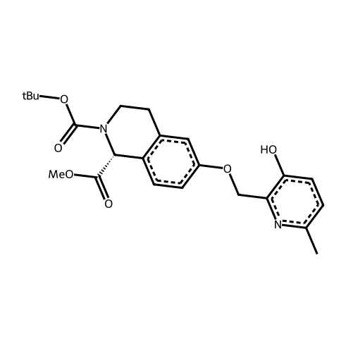 COC(=O)[C@H]1c2ccc(OCc3nc(C)ccc3O)cc2CCN1C(=O)OC(C)(C)C